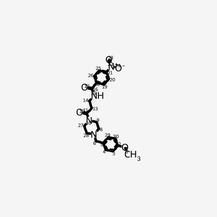 COc1ccc(CN2CCN(C(=O)CCNC(=O)c3ccc([N+](=O)[O-])cc3)CC2)cc1